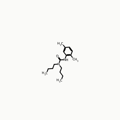 CCCCN(CCCC)C(=O)Nc1cc(C)ccc1C